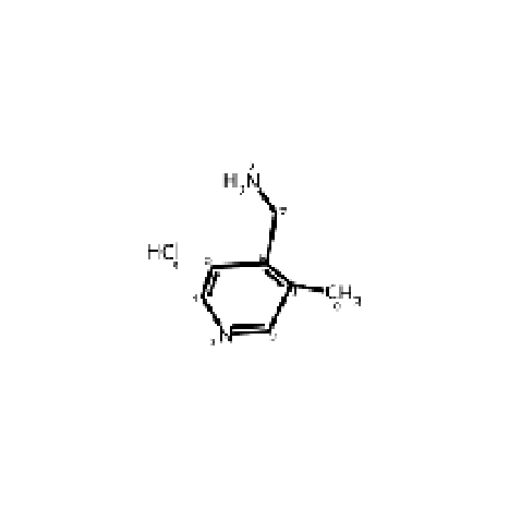 Cc1cnccc1CN.Cl